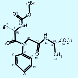 CC(C)[C@H](NC(=O)OC(C)(C)C)C(=O)N(CC(=O)N[C@@H](C)C(=O)O)c1ccccc1